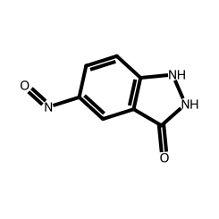 O=Nc1ccc2[nH][nH]c(=O)c2c1